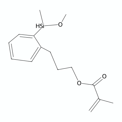 C=C(C)C(=O)OCCCc1ccccc1[SiH](C)OC